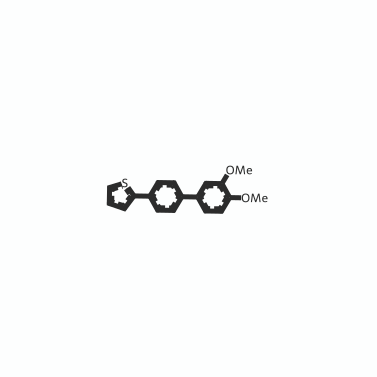 COc1ccc(-c2ccc(-c3cccs3)cc2)cc1OC